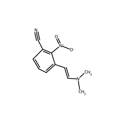 CN(C)C=Cc1cccc(C#N)c1[N+](=O)[O-]